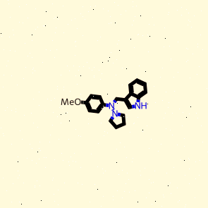 COc1ccc(N(Cc2c[nH]c3ccccc23)N2CCCC2)cc1